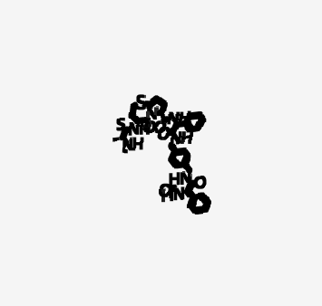 CN[C@@H](C)C(=S)N[C@H]1CCSC2CC[C@@H](C(=O)N[C@@H](C(=O)NCc3ccc(CNC(=O)[C@@H](NC=O)c4ccccc4)cc3)c3ccccc3)N2C1=O